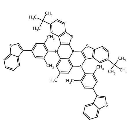 Cc1cc2c3c(c1)N(c1c(C)cc(-c4csc5ccccc45)cc1C)c1c(sc4ccc(C(C)(C)C)cc14)B3c1sc3ccc(C(C)(C)C)cc3c1N2c1c(C)cc(-c2csc3ccccc23)cc1C